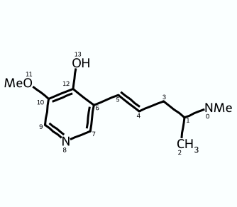 CNC(C)C/C=C/c1cncc(OC)c1O